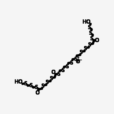 O=C(CSCSCSCC[S+]([O-])CSCSCSCSC(=O)CSCSCSCC(=O)SCSCSCO)SCSCSCO